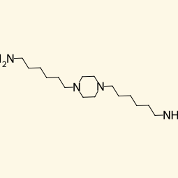 NCCCCCCN1CCN(CCCCCCN)CC1